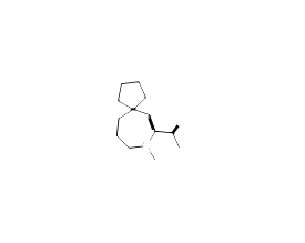 CC(=O)C1=CC2(CCCC2)CCCN1C